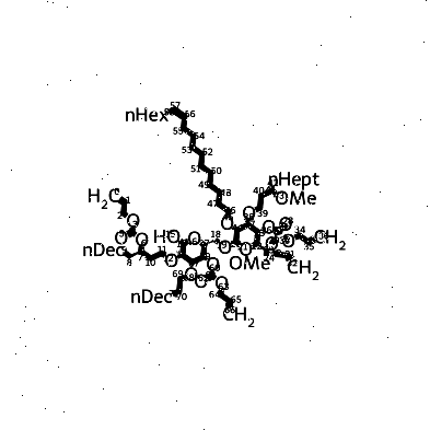 C=CCOC(=O)O[C@H](CCCCCCCCCCC)CCO[C@H]1C(O)O[C@H](CO[C@@H]2O[C@H](COC)[C@@H](OP(=O)(OCC=C)OCC=C)[C@H](OCC[C@@H](CCCCCCC)OC)[C@H]2OCCCCCCCCCC/C=C\CCCCCC)[C@@H](OC(=O)OCC=C)[C@@H]1OCCCCCCCCCCCC